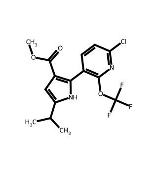 COC(=O)c1cc(C(C)C)[nH]c1-c1ccc(Cl)nc1OC(F)(F)F